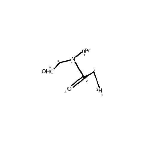 [3H]CC(=O)N(CC=O)CCC